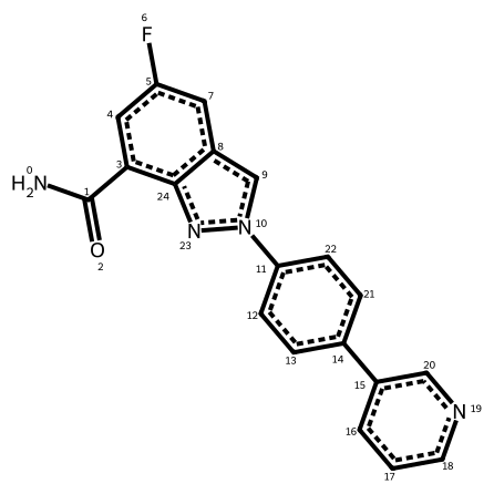 NC(=O)c1cc(F)cc2cn(-c3ccc(-c4cccnc4)cc3)nc12